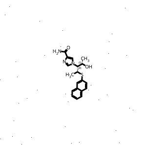 CC(Sc1ccc2ccccc2c1)[C@@H]([C@H](C)O)n1cnc(C(N)=O)c1